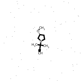 C#CC(C)(C)N1CC[C@@H](OC)C1